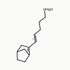 CCCCCCCCCC/C=C/C1=C2CCC(C1)C2